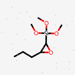 CCCC1OC1[Si](OC)(OC)OC